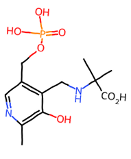 Cc1ncc(COP(=O)(O)O)c(CNC(C)(C)C(=O)O)c1O